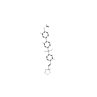 CCC(CC)(c1ccc(/C=C/C2(O)CCCC2)c(C)c1)c1ccc(-c2ccc(CC(=O)O)c(F)c2)c(C)c1